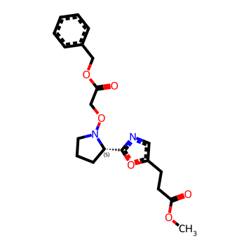 COC(=O)CCc1cnc([C@@H]2CCCN2OCC(=O)OCc2ccccc2)o1